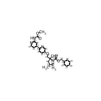 COC(=O)Nc1cc(-c2ccc(OCC(C)(CC(C)C)NC(=O)OCc3ccccc3)cn2)ccn1